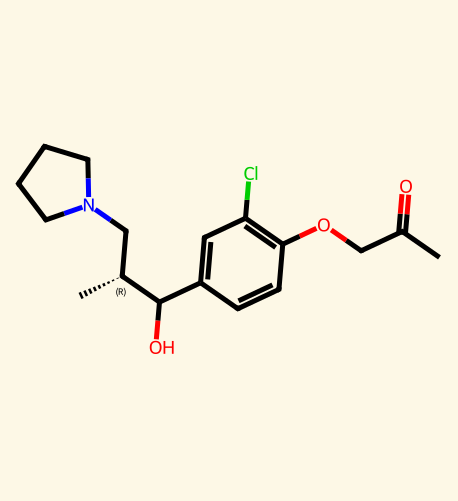 CC(=O)COc1ccc(C(O)[C@H](C)CN2CCCC2)cc1Cl